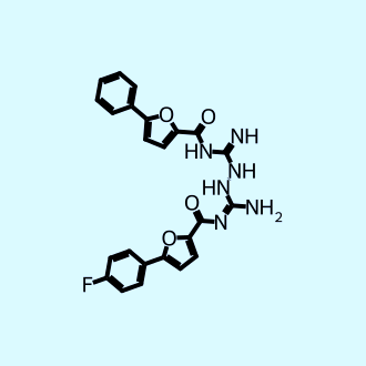 N=C(NNC(N)=NC(=O)c1ccc(-c2ccc(F)cc2)o1)NC(=O)c1ccc(-c2ccccc2)o1